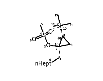 CCCCCCCC[C@@]1(OS(C)(=O)=O)C[C@H]1[Si](C)(C)C